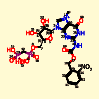 C[n+]1cn([C@@H]2O[C@H](COP(=O)(O)CP(=O)(O)O)[C@@H](O)[C@H]2O)c2nc(NC(=O)OCc3ccccc3[N+](=O)[O-])[nH]c(=O)c21